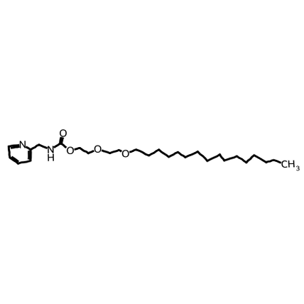 CCCCCCCCCCCCCCCCOCCOCCOC(=O)NCc1ccccn1